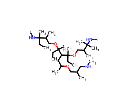 CCC(C)(NI)C(C)COC(C)(CC)C(CC(C)OCC(C)CNC)C(C)(CC)OCC(C)C(C)(C)NI